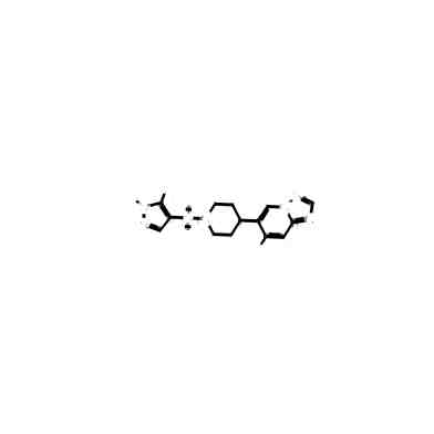 Cn1ncc(S(=O)(=O)N2CCC(c3cn4ncnc4cc3F)CC2)c1Cl